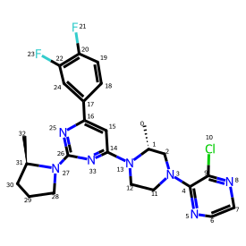 C[C@@H]1CN(c2nccnc2Cl)CCN1c1cc(-c2ccc(F)c(F)c2)nc(N2CCC[C@H]2C)n1